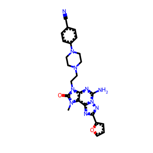 Cn1c(=O)n(CCN2CCN(c3ccc(C#N)cc3)CC2)c2nc(N)n3nc(-c4ccco4)nc3c21